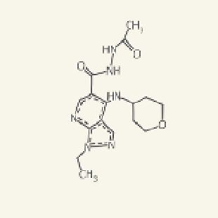 CCn1ncc2c(NC3CCOCC3)c(C(=O)NNC(C)=O)cnc21